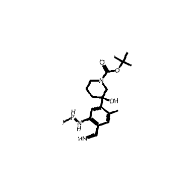 Cc1cc(C=N)c(NPI)cc1C1(O)CCCN(C(=O)OC(C)(C)C)C1